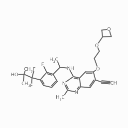 C#Cc1cc2nc(C)nc(NC(C)c3cccc(C(F)(F)C(C)(C)O)c3F)c2cc1OCCOC1COC1